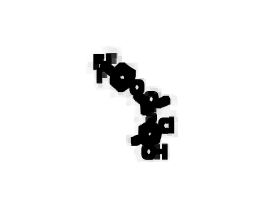 CCOC(COc1ccc(C(F)(F)F)cc1)CSc1cc(C)c(O)cc1Cl